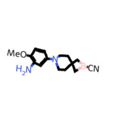 COc1ccc(N2CCC3(CC2)CB(C#N)C3)cc1N